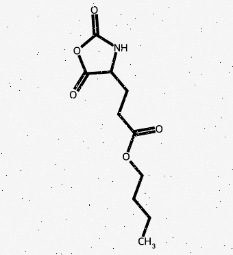 CCCCOC(=O)CCC1NC(=O)OC1=O